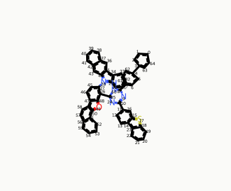 c1ccc(-c2ccc(C3N=C(c4ccc5c(c4)sc4ccccc45)N=C(c4c(-n5c6ccccc6c6cc7ccccc7cc65)ccc5c4oc4c6ccccc6ccc54)N3)cc2)cc1